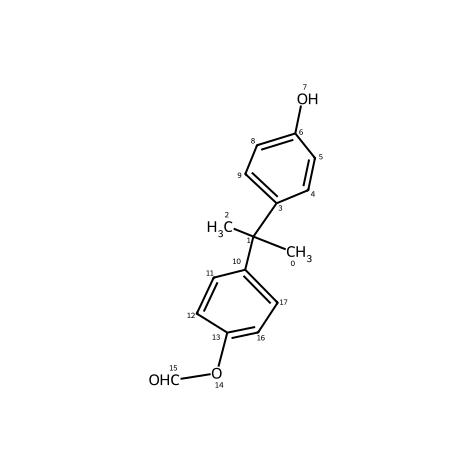 CC(C)(c1ccc(O)cc1)c1ccc(OC=O)cc1